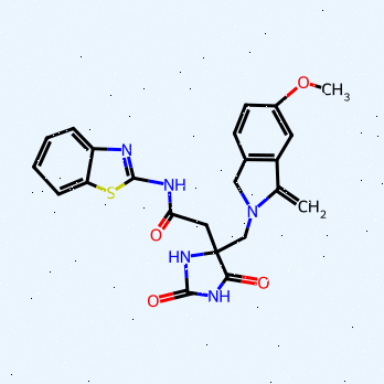 C=C1c2cc(OC)ccc2CN1CC1(CC(=O)Nc2nc3ccccc3s2)NC(=O)NC1=O